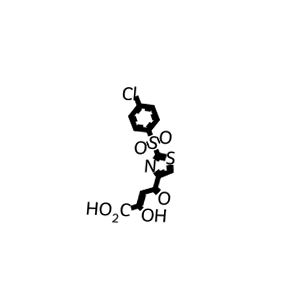 O=C(O)C(O)=CC(=O)c1csc(S(=O)(=O)c2ccc(Cl)cc2)n1